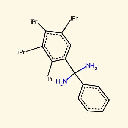 CC(C)c1cc(C(N)(N)c2ccccc2)c(C(C)C)c(C(C)C)c1C(C)C